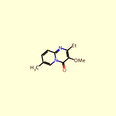 CCc1nc2ccc(C)cn2c(=O)c1OC